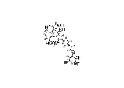 COc1ccc2ncc(CO)c(C(O)CCC3(CC(=O)O)CCN(CCOc4cc(F)cc(F)c4F)CC3)c2c1